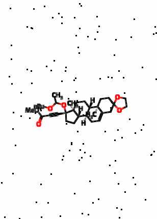 CCCCOC(C)O[C@@]1(C#CC(=O)OC)CC[C@H]2[C@@H]3CC=C4CC5(CC[C@]4(C)[C@H]3CC[C@@]21C)OCCO5